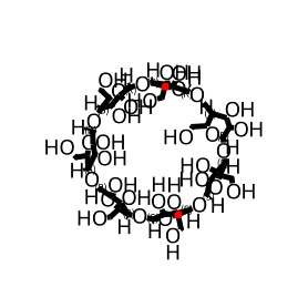 OCC1O[C@@H]2O[C@@H]3C(CO)O[C@H](O[C@@H]4C(CO)O[C@@H](O[C@@H]5C(CO)O[C@@H](O[C@H]6C(CO)O[C@H](O[C@@H]7C(CO)O[C@H](O[C@@H]8C(CO)O[C@H](O[C@H]1C(O)C2O)C(O)C8O)C(O)C7O)C(O)C6O)C(O)C5O)C(O)C4O)C(O)C3O